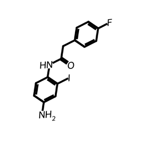 Nc1ccc(NC(=O)Cc2ccc(F)cc2)c(I)c1